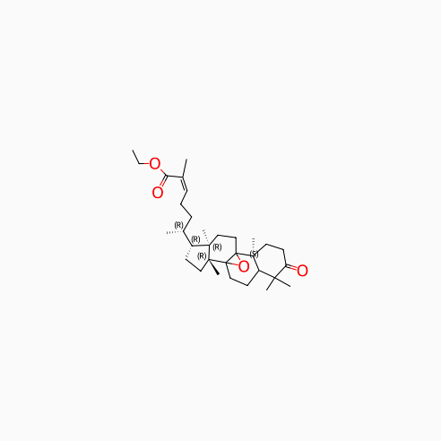 CCOC(=O)C(C)=CCC[C@@H](C)[C@H]1CC[C@@]2(C)C34CCC5C(C)(C)C(=O)CC[C@]5(C)C3(CC[C@]12C)O4